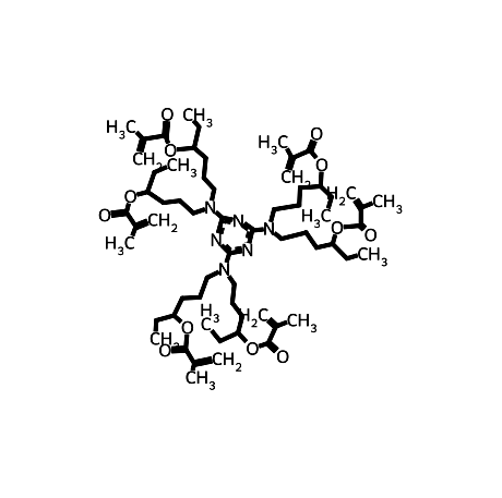 C=C(C)C(=O)OC(CC)CCCN(CCCC(CC)OC(=O)C(=C)C)c1nc(N(CCCC(CC)OC(=O)C(=C)C)CCCC(CC)OC(=O)C(=C)C)nc(N(CCCC(CC)OC(=O)C(=C)C)CCCC(CC)OC(=O)C(=C)C)n1